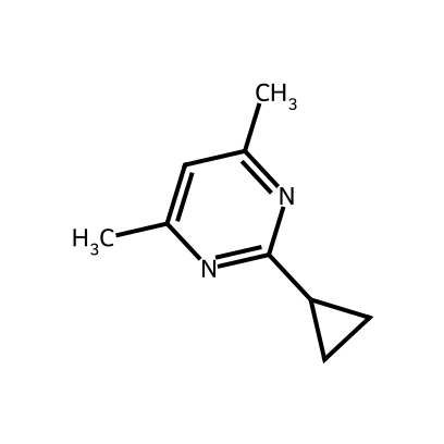 Cc1cc(C)nc(C2CC2)n1